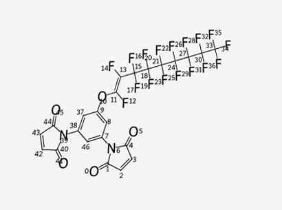 O=C1C=CC(=O)N1c1cc(OC(F)=C(F)C(F)(F)C(F)(F)C(F)(F)C(F)(F)C(F)(F)C(F)(F)C(F)(F)F)cc(N2C(=O)C=CC2=O)c1